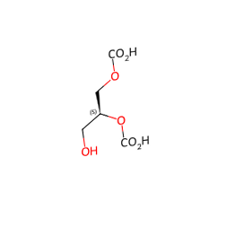 O=C(O)OC[C@H](CO)OC(=O)O